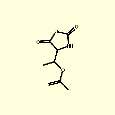 C=C(C)OC(C)C1NC(=O)OC1=O